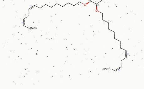 CCCCC/C=C\C/C=C\CCCCCCCCO[C@H]1CC[C@@H](CN(C)C)C[C@H]1OCCCCCCCC/C=C\C/C=C\CCCCC